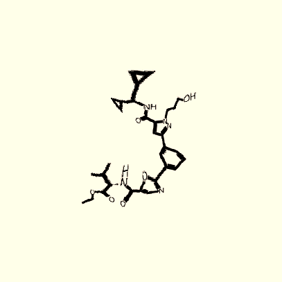 CCOC(=O)[C@@H](NC(=O)c1cnc(-c2cccc(-c3cc(C(=O)NC(C4CC4)C4CC4)n(CCCO)n3)c2)o1)C(C)C